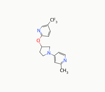 Cc1cc(N2CCC(Oc3ccc(C(F)(F)F)cn3)C2)ccn1